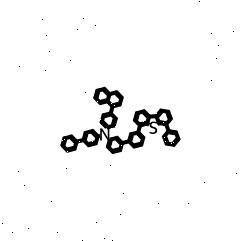 c1ccc(-c2ccc(N(c3ccc(-c4cccc5ccccc45)cc3)c3cccc(-c4cccc(-c5cccc6c5sc5c(-c7ccccc7)cccc56)c4)c3)cc2)cc1